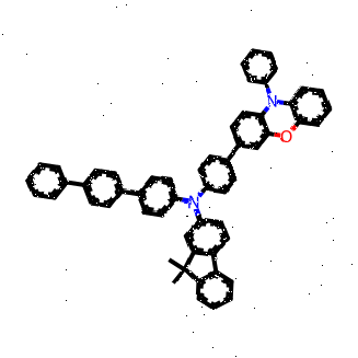 CC1(C)c2ccccc2-c2ccc(N(c3ccc(-c4ccc(-c5ccccc5)cc4)cc3)c3ccc(-c4ccc5c(c4)Oc4ccccc4N5c4ccccc4)cc3)cc21